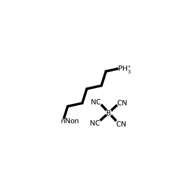 CCCCCCCCCCCCCC[PH3+].N#C[B-](C#N)(C#N)C#N